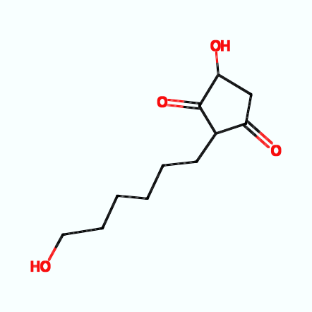 O=C1CC(O)C(=O)C1CCCCCCO